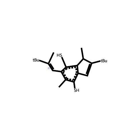 C/C(=C\c1c(C)c(S)c2c(c1S)C(C)C(C(C)(C)C)=C2)C(C)(C)C